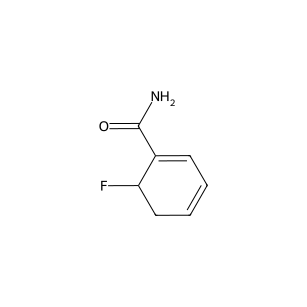 NC(=O)C1=CC=CCC1F